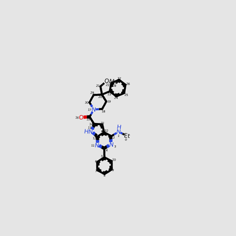 [CH2]CNc1nc(-c2ccccc2)nc2[nH]c(C(=O)N3CCC(COC)(c4ccccc4)CC3)cc12